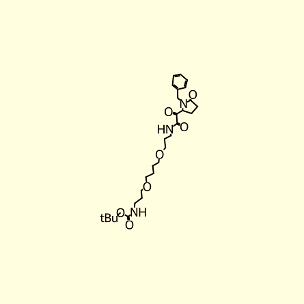 CC(C)(C)OC(=O)NCCCOCCCCOCCCNC(=O)C(=O)C1CCC(=O)N1Cc1ccccc1